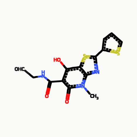 Cn1c(=O)c(C(=O)NCC=O)c(O)c2sc(-c3cccs3)nc21